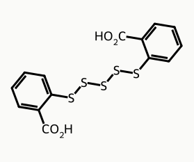 O=C(O)c1ccccc1SSSSSc1ccccc1C(=O)O